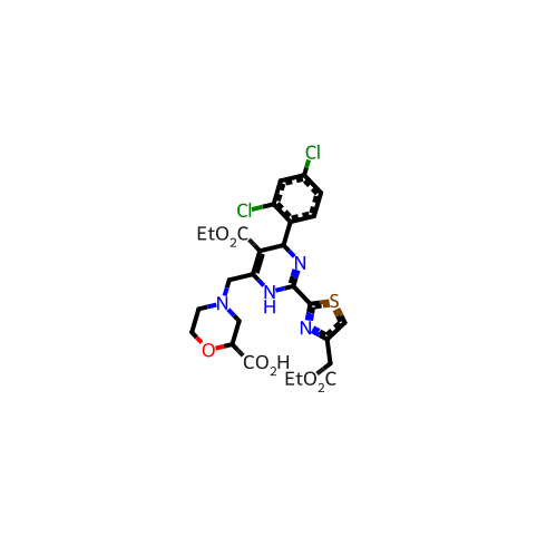 CCOC(=O)Cc1csc(C2=NC(c3ccc(Cl)cc3Cl)C(C(=O)OCC)=C(CN3CCOC(C(=O)O)C3)N2)n1